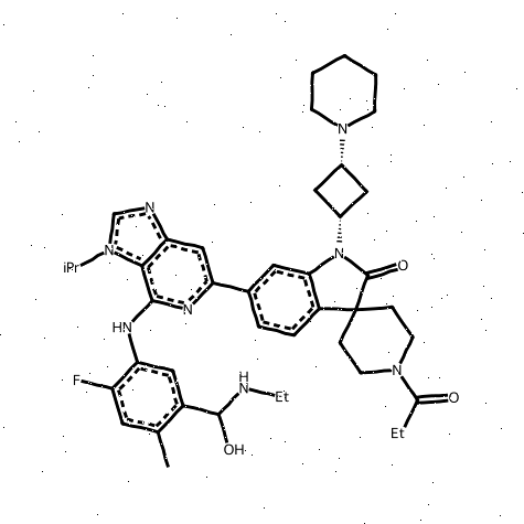 CCNC(O)c1cc(Nc2nc(-c3ccc4c(c3)N([C@H]3C[C@@H](N5CCCCC5)C3)C(=O)C43CCN(C(=O)CC)CC3)cc3ncn(C(C)C)c23)c(F)cc1C